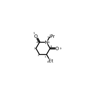 CCC1CCC(=O)N(C(C)C)C1=O